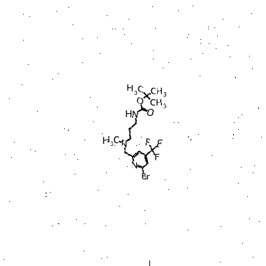 CN(CCCNC(=O)OC(C)(C)C)Cc1cc(C(F)(F)F)cc(Br)n1